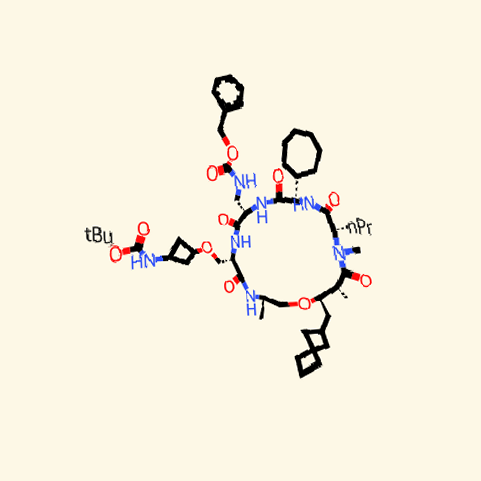 CCC[C@H]1C(=O)N[C@@H](C2CCCCCC2)C(=O)N[C@@H](CNC(=O)OCc2ccccc2)C(=O)N[C@@H](COC2CC(NC(=O)OC(C)(C)C)C2)C(=O)N[C@H](C)CO[C@H](CC2CC3(CCC3)C2)[C@@H](C)C(=O)N1C